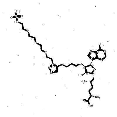 Cc1ncnc2c1ncn2[C@@H]1O[C@H](C[C@@H](N)CC[C@H](N)C(=O)O)[C@@H](O)[C@H]1OCCCCc1cnnn1CCOCCOCCOCCNS(C)(=O)=O